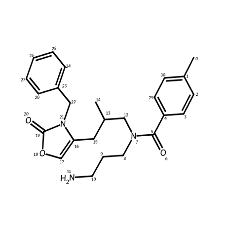 Cc1ccc(C(=O)N(CCCN)CC(C)Cc2coc(=O)n2Cc2ccccc2)cc1